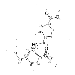 COC(=O)C1CCC(CNc2cc(OC)ccc2[N+](=O)[O-])CC1